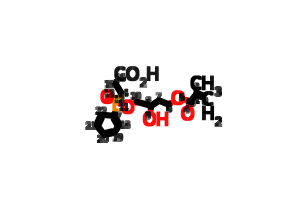 C=C(C)C(=O)OCCC(O)COP(=O)(CCC(=O)O)c1ccccc1